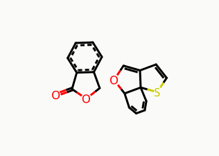 C1=CC2OC=C3C=CSC32C=C1.O=C1OCc2ccccc21